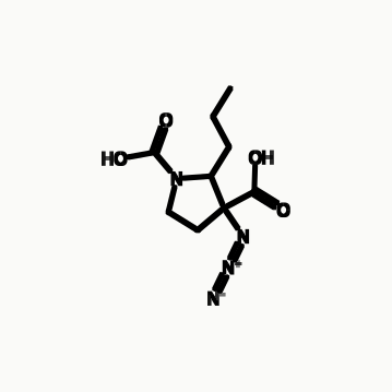 CCCC1N(C(=O)O)CCC1(N=[N+]=[N-])C(=O)O